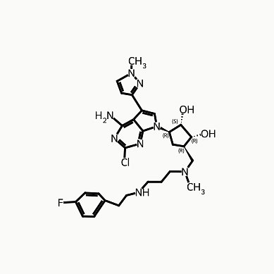 CN(CCCNCCc1ccc(F)cc1)C[C@H]1C[C@@H](n2cc(-c3ccn(C)n3)c3c(N)nc(Cl)nc32)[C@H](O)[C@@H]1O